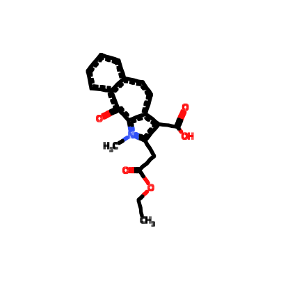 CCOC(=O)Cc1c(C(=O)O)c2ccc3ccccc3c(=O)c2n1C